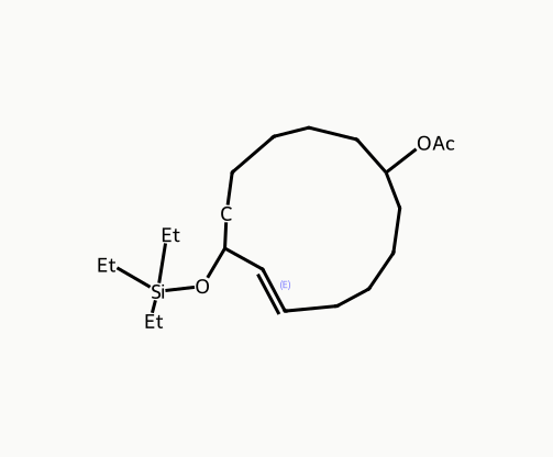 CC[Si](CC)(CC)OC1/C=C/CCCCC(OC(C)=O)CCCCC1